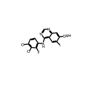 COc1cc2ncnc(Nc3ccc(Cl)c(Cl)c3F)c2cc1I